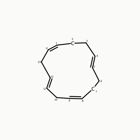 C1=C\CC/C=C/CC/C=C/C/C=C/C/1